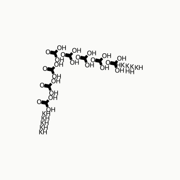 O=C(O)O.O=C(O)O.O=C(O)O.O=C(O)O.O=C(O)O.O=C(O)O.O=C(O)O.O=C(O)O.[KH].[KH].[KH].[KH].[KH].[KH].[KH].[KH].[KH]